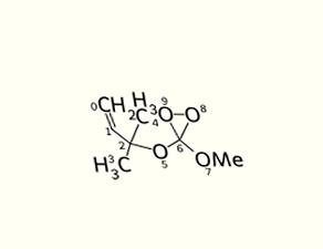 C=CC(C)(C)OC1(OC)OO1